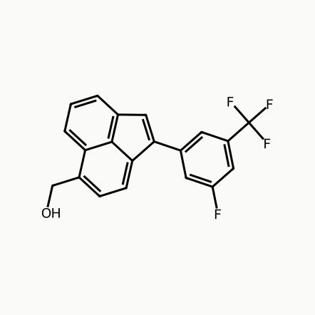 OCc1ccc2c3c(cccc13)C=C2c1cc(F)cc(C(F)(F)F)c1